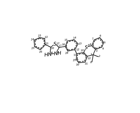 CC1(C)c2ccccc2Sc2c(-c3cccc(C4NNC(c5ccccc5)S4)c3)cccc21